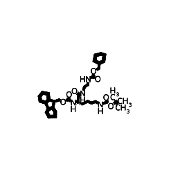 CC(C)(C)OC(=O)NCCCC[C@H](NC(=O)OCC1c2ccccc2-c2ccccc21)C(=O)NCCNC(=O)OCc1ccccc1